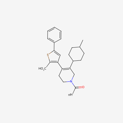 CCCC(=O)N1CCC(c2cc(-c3ccccc3)sc2C(=O)O)=C(C2CCC(C)CC2)C1